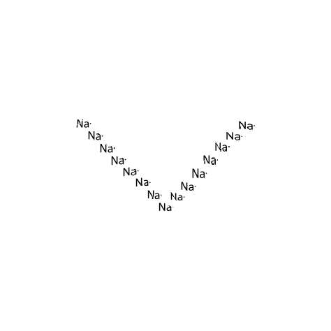 [Na].[Na].[Na].[Na].[Na].[Na].[Na].[Na].[Na].[Na].[Na].[Na].[Na].[Na].[Na]